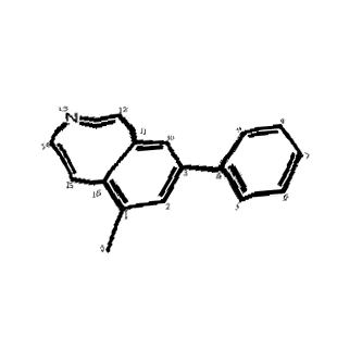 Cc1cc(-c2ccccc2)cc2cnccc12